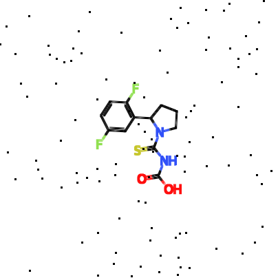 O=C(O)NC(=S)N1CCCC1c1cc(F)ccc1F